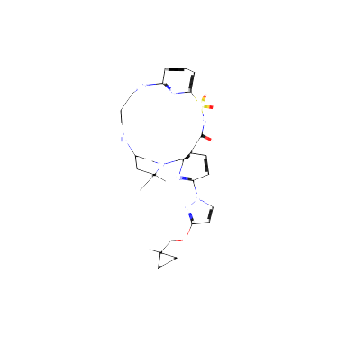 CC1(C)CC2CN1c1nc(-n3ccc(OCC4(C(F)(F)F)CC4)n3)ccc1C(=O)NS(=O)(=O)c1cccc(n1)NCCCN2